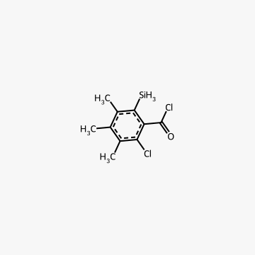 Cc1c(C)c([SiH3])c(C(=O)Cl)c(Cl)c1C